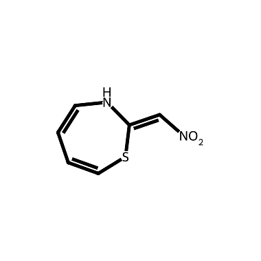 O=[N+]([O-])C=C1NC=CC=CS1